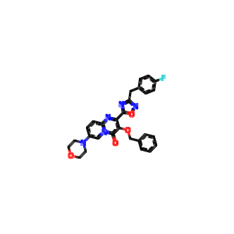 O=c1c(OCc2ccccc2)c(-c2nc(Cc3ccc(F)cc3)no2)nc2ccc(N3CCOCC3)cn12